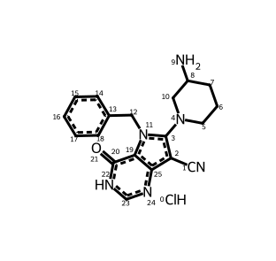 Cl.N#Cc1c(N2CCCC(N)C2)n(Cc2ccccc2)c2c(=O)[nH]cnc12